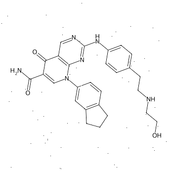 NC(=O)c1cn(-c2ccc3c(c2)CCC3)c2nc(Nc3ccc(CCNCCO)cc3)ncc2c1=O